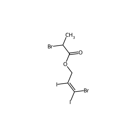 CC(Br)C(=O)OC/C(I)=C(\Br)I